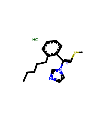 CCCCCc1ccccc1/C(=C\SC)n1ccnc1.Cl